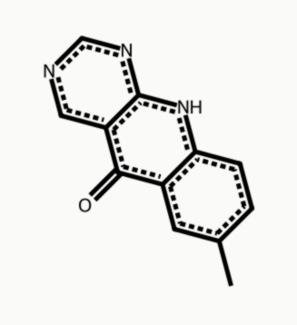 Cc1ccc2[nH]c3ncncc3c(=O)c2c1